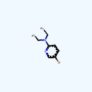 CC(C)CN(CC(C)C)c1ccc(Br)cn1